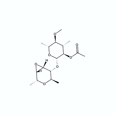 CO[C@H]1[C@H](C)[C@@H](OC(C)=O)[C@H](O[C@H]2[C@H]3O[C@H]3[C@@H](C)O[C@@H]2C)O[C@@H]1C